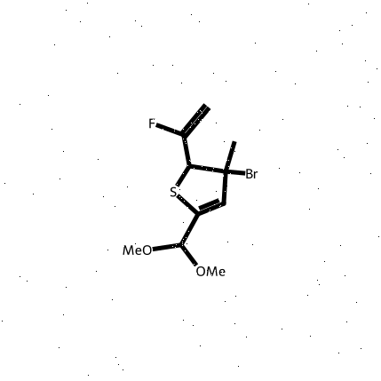 C=C(F)C1SC(C(OC)OC)=CC1(C)Br